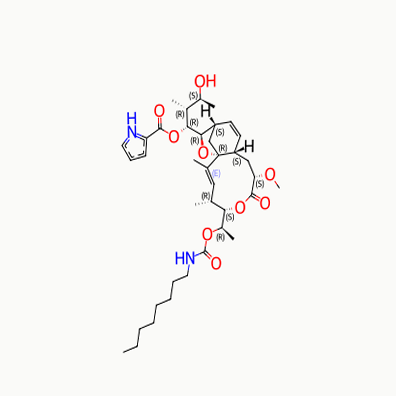 CCCCCCCCNC(=O)O[C@H](C)[C@H]1OC(=O)[C@@H](OC)C[C@H]2C=C[C@@H]3C[C@]2(O[C@H]3[C@H](OC(=O)c2ccc[nH]2)[C@H](C)[C@H](C)O)/C(C)=C/[C@H]1C